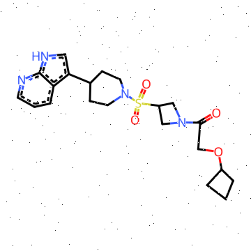 O=C(COC1CCC1)N1CC(S(=O)(=O)N2CCC(c3c[nH]c4ncccc34)CC2)C1